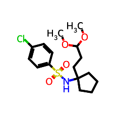 COC(CCC1(NS(=O)(=O)c2ccc(Cl)cc2)CCCC1)OC